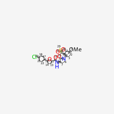 CO[C@@H]1CC[C@H](N2CC[C@H](NC(=O)c3ccc(-c4ccc(Cl)cc4)o3)C2=O)[C@@H](CS(C)(=O)=O)C1